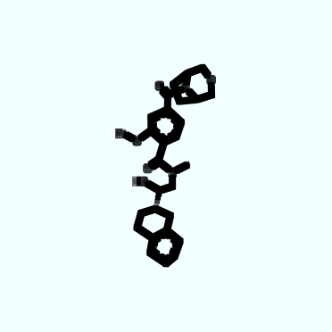 CCOc1cc(C(=O)N2C3CCC2COC3)ccc1C(=O)N(C)CC(O)[C@H]1CCc2ccccc2C1